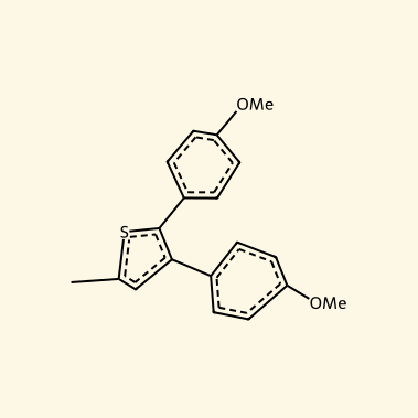 COc1ccc(-c2cc(C)sc2-c2ccc(OC)cc2)cc1